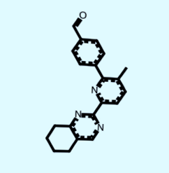 Cc1ccc(-c2ncc3c(n2)CCCC3)nc1-c1ccc(C=O)cc1